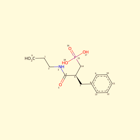 O=C(O)CCNC(=O)[C@H](Cc1ccccc1)CP(=O)(O)O